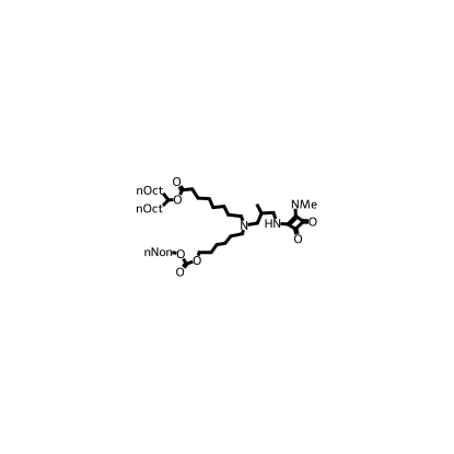 CCCCCCCCCOC(=O)OCCCCCCN(CCCCCCCC(=O)OC(CCCCCCCC)CCCCCCCC)CC(C)CNc1c(NC)c(=O)c1=O